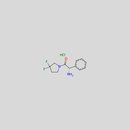 Cl.N[C@H](C(=O)N1CCC(F)(F)C1)c1ccccc1